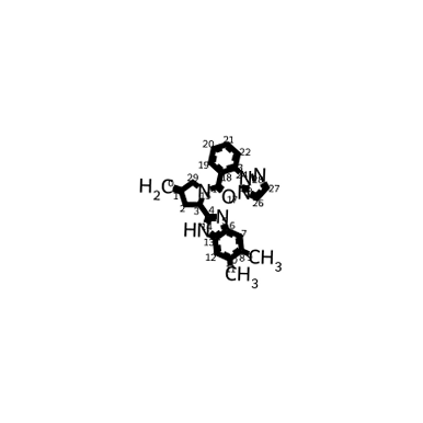 C=C1CC(c2nc3cc(C)c(C)cc3[nH]2)N(C(=O)c2ccccc2-n2nccn2)C1